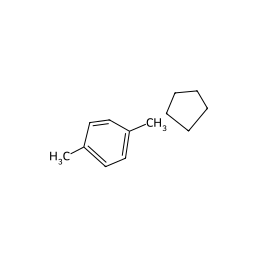 C1CCCC1.Cc1ccc(C)cc1